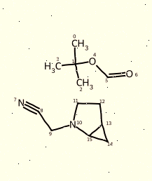 CC(C)(C)OC=O.N#CCN1CCC2CC21